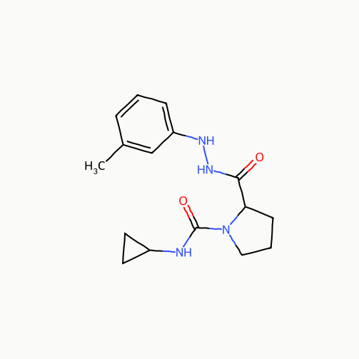 Cc1cccc(NNC(=O)C2CCCN2C(=O)NC2CC2)c1